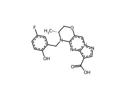 C[C@@H]1COc2cn3ncc(C(=O)O)c3nc2N1Cc1cc(F)ccc1O